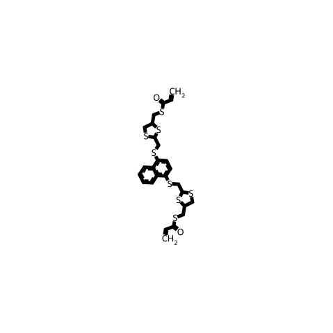 C=CC(=O)SCC1CSC(CSc2ccc(SCC3SCC(CSC(=O)C=C)S3)c3ccccc23)S1